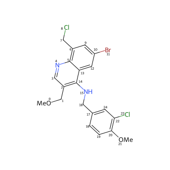 COCc1cnc2c(CCl)cc(Br)cc2c1NCc1ccc(OC)c(Cl)c1